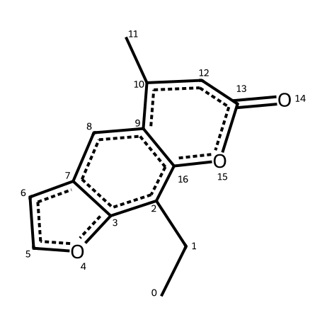 CCc1c2occc2cc2c(C)cc(=O)oc12